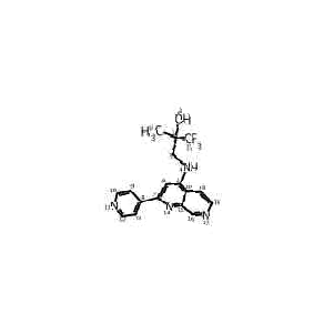 C[C@](O)(CNc1cc(-c2ccncc2)nc2cnccc12)C(F)(F)F